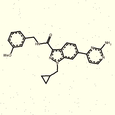 COc1cccc(CNC(=O)c2nn(CC3CC3)c3cc(-c4ccnc(N)n4)ccc23)c1